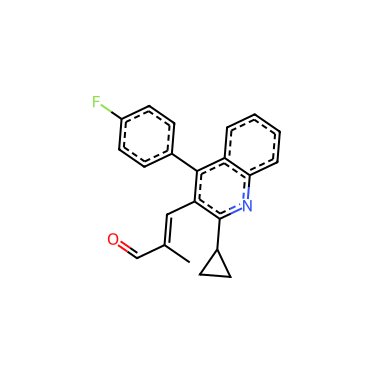 C/C(C=O)=C\c1c(C2CC2)nc2ccccc2c1-c1ccc(F)cc1